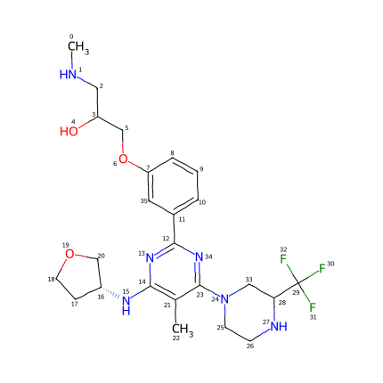 CNCC(O)COc1cccc(-c2nc(N[C@@H]3CCOC3)c(C)c(N3CCNC(C(F)(F)F)C3)n2)c1